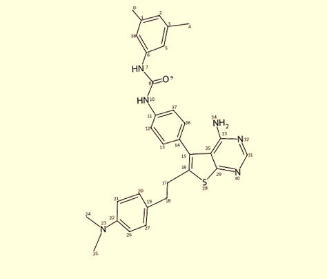 Cc1cc(C)cc(NC(=O)Nc2ccc(-c3c(CCc4ccc(N(C)C)cc4)sc4ncnc(N)c34)cc2)c1